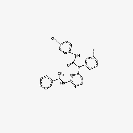 C[C@H](Nc1nccc(N(C(=O)Nc2ccc(Cl)cc2)c2cccc(F)c2)n1)c1ccccc1